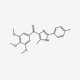 COc1cc(C(=O)c2nc(-c3ccc(C)cc3)[nH]c2C)cc(OC)c1OC